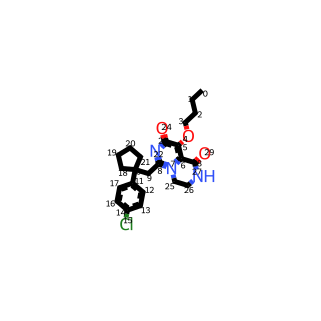 CCCCOc1c2n(c(CC3(c4ccc(Cl)cc4)CCCC3)nc1=O)CCNC2=O